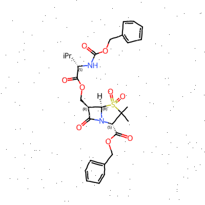 CC(C)[C@H](NC(=O)OCc1ccccc1)C(=O)OC[C@@H]1C(=O)N2[C@@H](C(=O)OCc3ccccc3)C(C)(C)S(=O)(=O)[C@H]12